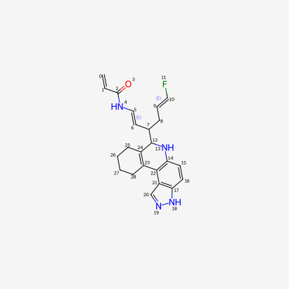 C=CC(=O)N/C=C/C(C/C=C/F)C1Nc2ccc3[nH]ncc3c2C2=C1CCCC2